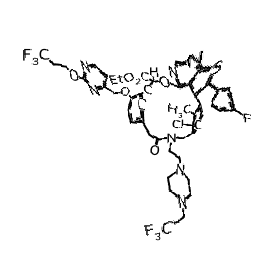 CCOC(=O)[C@H]1Cc2cc(ccc2OCc2ccnc(OCCC(F)(F)F)n2)CC(=O)N(CCN2CCN(CC(F)(F)F)CC2)Cc2ccc(c(C)c2Cl)-c2c(-c3ccc(F)cc3)sc3ncnc(c23)O1